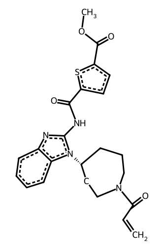 C=CC(=O)N1CCC[C@@H](n2c(NC(=O)c3ccc(C(=O)OC)s3)nc3ccccc32)CC1